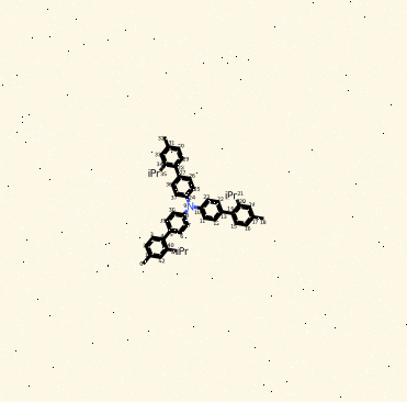 Cc1ccc(-c2ccc(N(c3ccc(-c4ccc(C)cc4C(C)C)cc3)c3ccc(-c4ccc(C)cc4C(C)C)cc3)cc2)c(C(C)C)c1